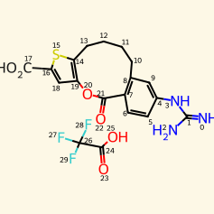 N=C(N)Nc1ccc2c(c1)CCCCc1sc(C(=O)O)cc1OC2=O.O=C(O)C(F)(F)F